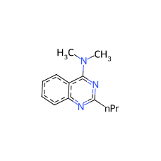 CCCc1nc(N(C)C)c2ccccc2n1